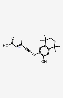 C/C(C#C[Se]c1cc2c(cc1O)C(C)(C)CCC2(C)C)=C\C(=O)O